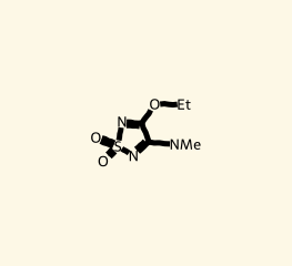 CCOC1=NS(=O)(=O)N=C1NC